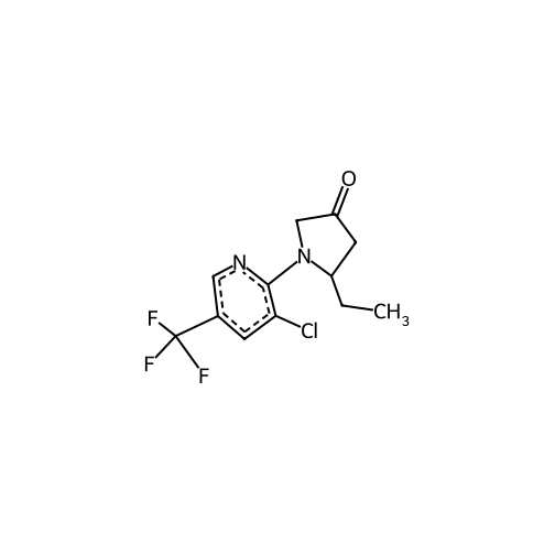 CCC1CC(=O)CN1c1ncc(C(F)(F)F)cc1Cl